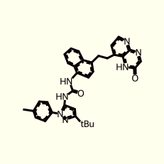 Cc1ccc(-n2nc(C(C)(C)C)cc2NC(=O)Nc2ccc(CCc3ccnc4ncc(=O)[nH]c34)c3ccccc23)cc1